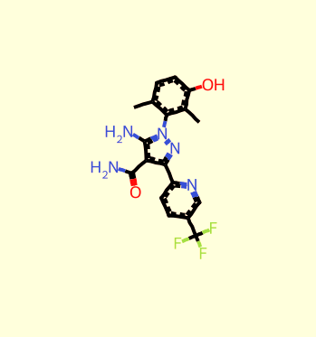 Cc1ccc(O)c(C)c1-n1nc(-c2ccc(C(F)(F)F)cn2)c(C(N)=O)c1N